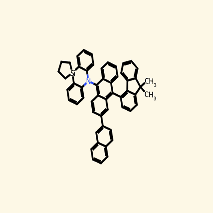 CC1(C)c2ccccc2-c2c(-c3c4ccccc4c(N4c5ccccc5[Si]5(CCCC5)c5ccccc54)c4ccc(-c5ccc6ccccc6c5)cc34)cccc21